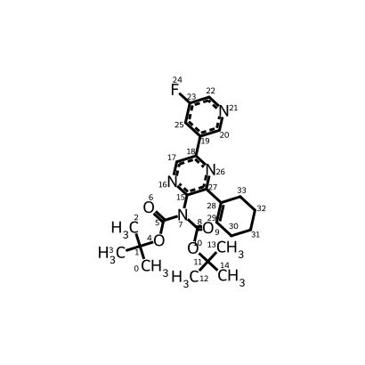 CC(C)(C)OC(=O)N(C(=O)OC(C)(C)C)c1ncc(-c2cncc(F)c2)nc1C1=CCCCC1